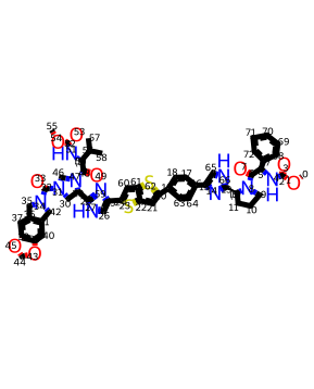 COC(=O)NC(C(=O)N1CCC[C@H]1c1nc(-c2ccc(-c3cc4sc(-c5c[nH]c(C6CN(C(=O)N7Cc8cc9c(cc8C7)OCO9)CN6C(=O)[C@@H](NC(=O)OC)C(C)C)n5)cc4s3)cc2)c[nH]1)c1ccccc1